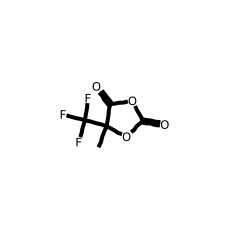 CC1(C(F)(F)F)OC(=O)OC1=O